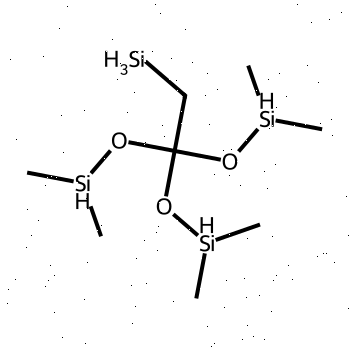 C[SiH](C)OC(C[SiH3])(O[SiH](C)C)O[SiH](C)C